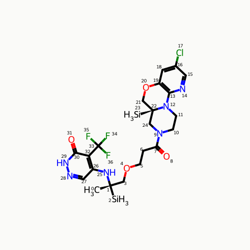 C[C@]([SiH3])(COCCC(=O)N1CCN2c3ncc(Cl)cc3OC[C@@]2([SiH3])C1)Nc1cn[nH]c(=O)c1C(F)(F)F